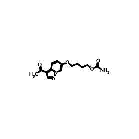 CC(=O)c1cnn2cc(OCCCCOC(N)=O)ccc12